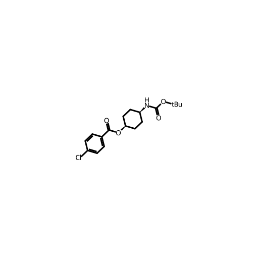 CC(C)(C)OC(=O)N[C@H]1CC[C@@H](OC(=O)c2ccc(Cl)cc2)CC1